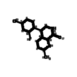 Cc1ccc2c(-c3ccc(Cl)cc3F)c[nH]c(=O)c2n1